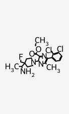 CCOC(=O)c1nc(-c2cccc(Cl)c2Cl)c(C)nc1N1CCC(CF)(C(C)N)CC1